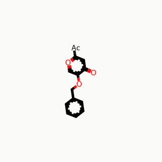 CC(=O)c1cc(=O)c(OCc2ccccc2)co1